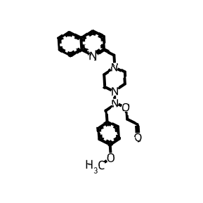 COc1ccc(CN(OCC=O)N2CCN(Cc3ccc4ccccc4n3)CC2)cc1